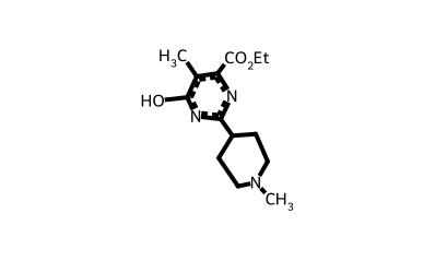 CCOC(=O)c1nc(C2CCN(C)CC2)nc(O)c1C